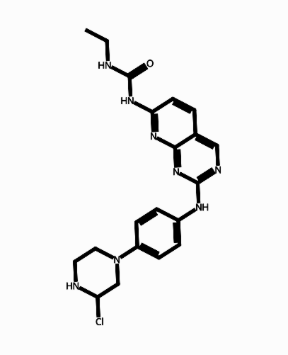 CCNC(=O)Nc1ccc2cnc(Nc3ccc(N4CCNC(Cl)C4)cc3)nc2n1